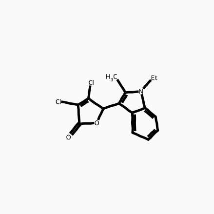 CCn1c(C)c(C2OC(=O)C(Cl)=C2Cl)c2ccccc21